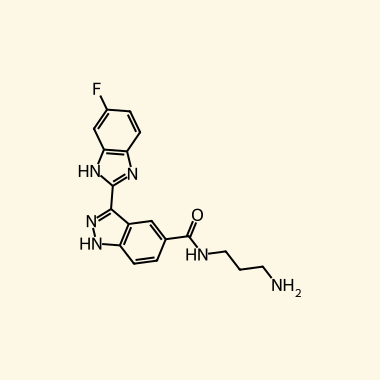 NCCCNC(=O)c1ccc2[nH]nc(-c3nc4ccc(F)cc4[nH]3)c2c1